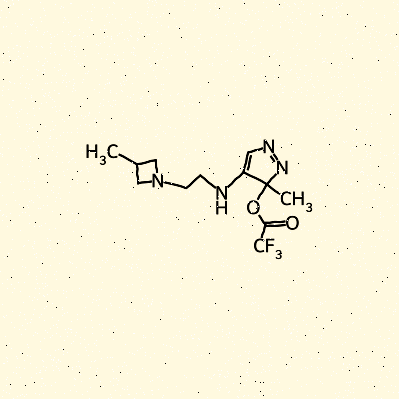 CC1CN(CCNC2=CN=NC2(C)OC(=O)C(F)(F)F)C1